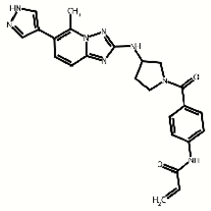 C=CC(=O)Nc1ccc(C(=O)N2CCC(Nc3nc4ccc(-c5cn[nH]c5)c(C)n4n3)C2)cc1